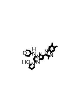 Cc1cc2nc(C)c(-c3cc4nc(N5CCCC5O)cc(NC5CCOCC5)n4n3)nc2cc1C